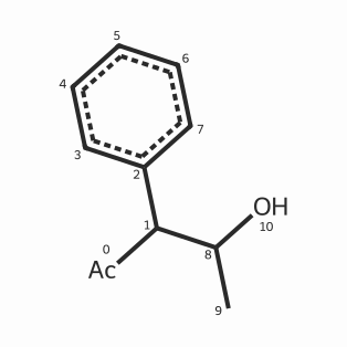 CC(=O)C(c1ccccc1)C(C)O